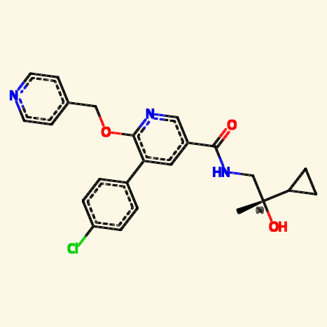 C[C@@](O)(CNC(=O)c1cnc(OCc2ccncc2)c(-c2ccc(Cl)cc2)c1)C1CC1